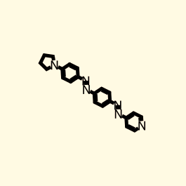 c1cc(N=Nc2ccc(N=Nc3ccc(N4CCCC4)cc3)cc2)ccn1